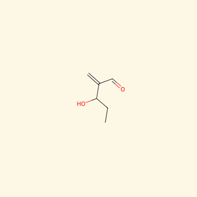 C=C(C=O)C(O)CC